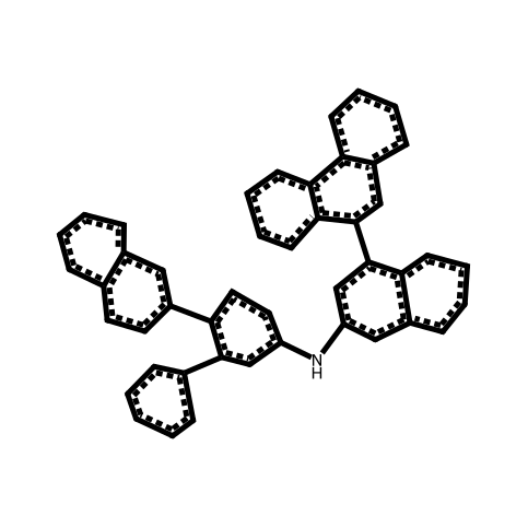 c1ccc(-c2cc(Nc3cc(-c4cc5ccccc5c5ccccc45)c4ccccc4c3)ccc2-c2ccc3ccccc3c2)cc1